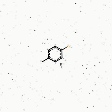 Cc1ccc([S-])cc1.[K+]